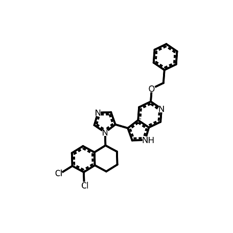 Clc1ccc2c(c1Cl)CCCC2n1cncc1-c1c[nH]c2cnc(OCc3ccccc3)cc12